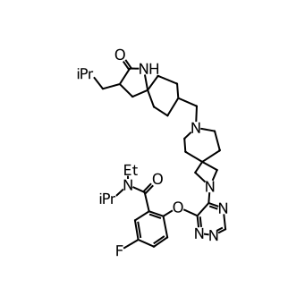 CCN(C(=O)c1cc(F)ccc1Oc1nncnc1N1CC2(CCN(CC3CCC4(CC3)CC(CC(C)C)C(=O)N4)CC2)C1)C(C)C